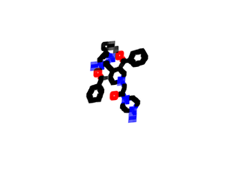 Cc1c[nH]c(C2[C@@H](C(=O)c3ccccc3)CN(CC(=O)N3CCNCC3)C[C@@H]2C(=O)c2ccccc2)n1